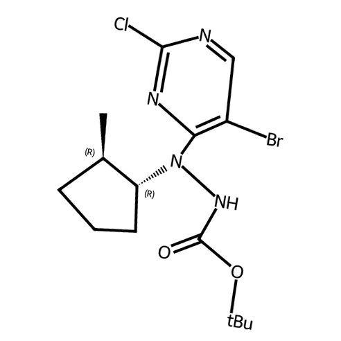 C[C@@H]1CCC[C@H]1N(NC(=O)OC(C)(C)C)c1nc(Cl)ncc1Br